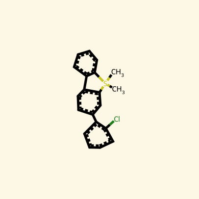 CS1(C)c2ccccc2-c2ccc(-c3ccccc3Cl)cc21